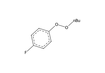 CCCCOOc1ccc(F)cc1